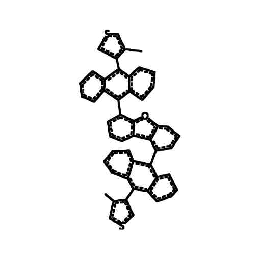 Cc1cscc1-c1c2ccccc2c(-c2cccc3c2oc2cccc(-c4c5ccccc5c(-c5cscc5C)c5ccccc45)c23)c2ccccc12